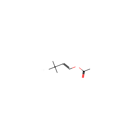 CC(=O)O/C=C/C(C)(C)C